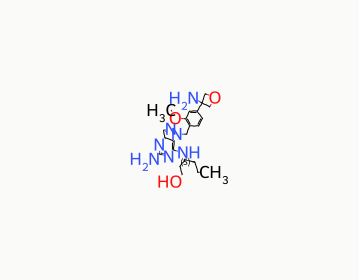 CCC[C@@H](CCO)Nc1nc(N)nc2cnn(Cc3ccc(C4(N)COC4)cc3OC)c12